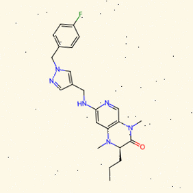 CCC[C@@H]1C(=O)N(C)c2cnc(NCc3cnn(Cc4ccc(F)cc4)c3)cc2N1C